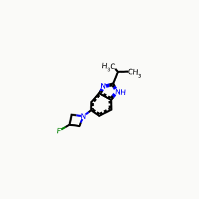 CC(C)c1nc2cc(N3CC(F)C3)ccc2[nH]1